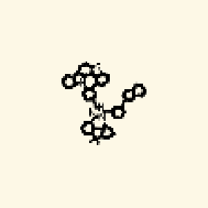 CC1(C)c2ccccc2-c2c(-c3nc(-c4cccc(-c5ccc6ccccc6c5)c4)nc(-c4ccc5c(c4)c4cccc6sc7ccc8c9ccccc9n5c8c7c64)n3)cccc21